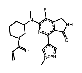 C=CC(=O)N1CCCC(N(C)c2nc(-c3cnn(C)c3)c3c(c2F)CNC3=O)C1